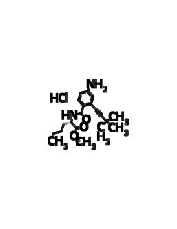 CCCC[C@H](NC(=O)c1ccc(N)cc1C#CC(C)(C)C)C(=O)OC.Cl